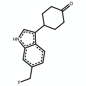 O=C1CCC(c2c[nH]c3cc(CF)ccc23)CC1